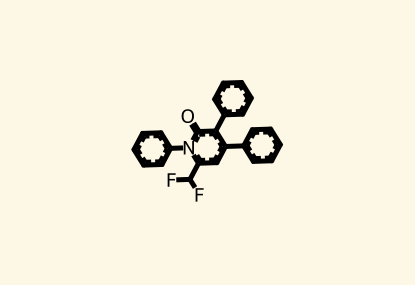 O=c1c(-c2ccccc2)c(-c2ccccc2)cc(C(F)F)n1-c1ccccc1